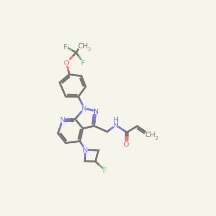 C=CC(=O)NCc1nn(-c2ccc(OC(C)(F)F)cc2)c2nccc(N3CC(F)C3)c12